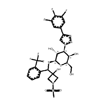 CS(=O)(=O)N1CC(O)(C(S[C@@H]2O[C@H](CO)[C@H](O)[C@H](n3cc(-c4cc(F)c(F)c(F)c4)nn3)[C@H]2O)c2ccccc2C(F)(F)F)C1